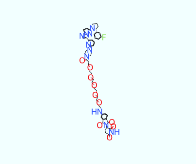 O=C1CCC(N2C(=O)c3ccc(NCCOCCOCCOCCOCCOCCC(=O)N4CCN(c5cccc(-c6cnc7ccc(N8CCC[C@@H]8c8cccc(F)c8)nn67)n5)CC4)cc3C2=O)C(=O)N1